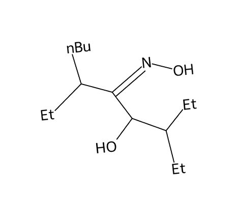 CCCCC(CC)C(=NO)C(O)C(CC)CC